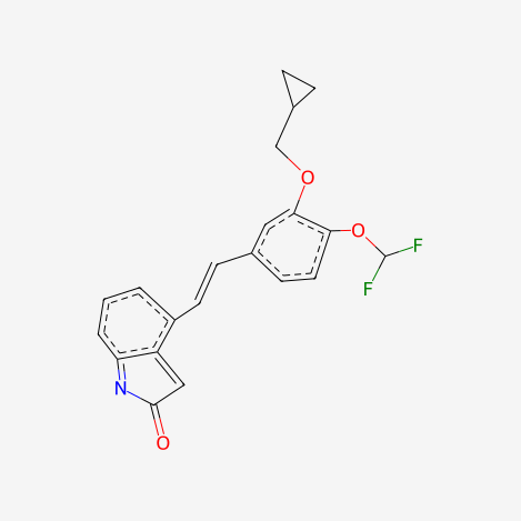 O=C1C=c2c(C=Cc3ccc(OC(F)F)c(OCC4CC4)c3)cccc2=N1